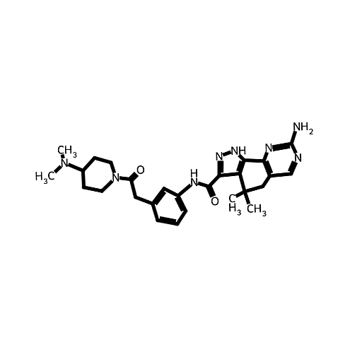 CN(C)C1CCN(C(=O)Cc2cccc(NC(=O)c3n[nH]c4c3C(C)(C)Cc3cnc(N)nc3-4)c2)CC1